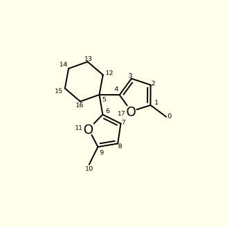 Cc1ccc(C2(c3ccc(C)o3)CCCCC2)o1